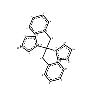 c1ccc(CC(Cc2ccccc2)(n2ccnc2)n2ccnc2)cc1